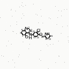 [O]c1cccc2ncnc(Nc3ccc(OCc4ccccn4)c(Cl)c3)c12